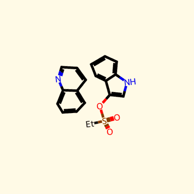 CCS(=O)(=O)Oc1c[nH]c2ccccc12.c1ccc2ncccc2c1